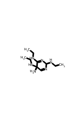 CCNC1=NC(NCC)N=CC1(N)NCC